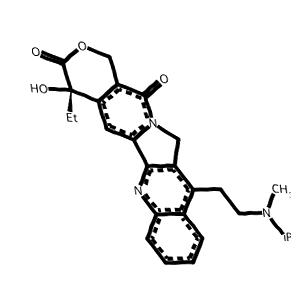 CC[C@@]1(O)C(=O)OCc2c1cc1n(c2=O)Cc2c-1nc1ccccc1c2CCN(C)C(C)C